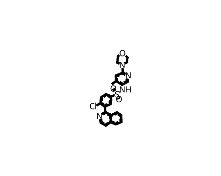 Cc1cc(N2CCOCC2)ncc1NS(=O)(=O)c1ccc(Cl)c(-c2nccc3ccccc23)c1